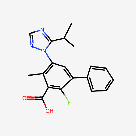 Cc1c(-n2ncnc2C(C)C)cc(-c2ccccc2)c(F)c1C(=O)O